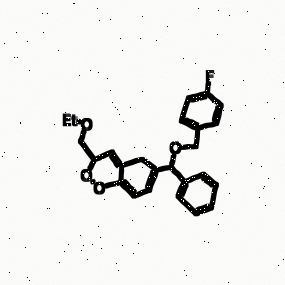 CCOCC1C=C2CC(C(OCc3ccc(F)cc3)c3ccccc3)=CC=C2OO1